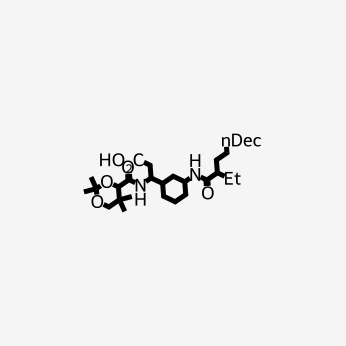 CCCCCCCCCCCCC(CC)C(=O)NC1CCCC(C(CC(=O)O)NC(=O)C2OC(C)(C)OCC2(C)C)C1